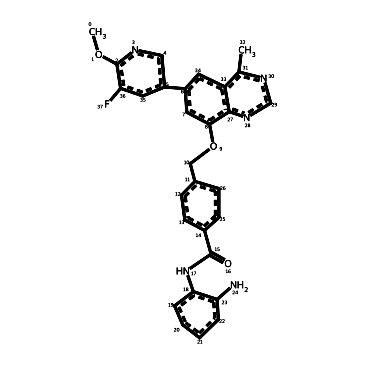 COc1ncc(-c2cc(OCc3ccc(C(=O)Nc4ccccc4N)cc3)c3ncnc(C)c3c2)cc1F